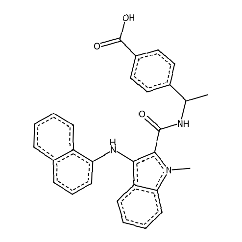 CC(NC(=O)c1c(Nc2cccc3ccccc23)c2ccccc2n1C)c1ccc(C(=O)O)cc1